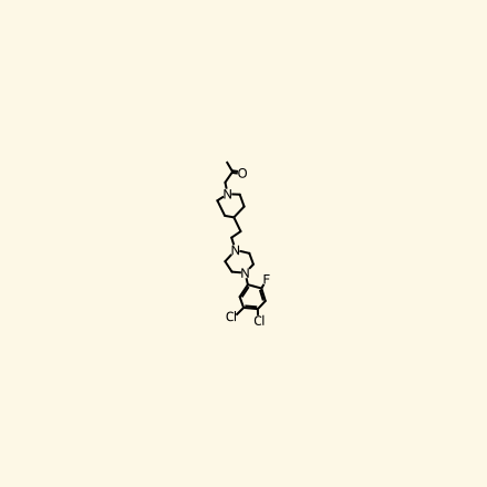 CC(=O)CN1CCC(CCN2CCN(c3cc(Cl)c(Cl)cc3F)CC2)CC1